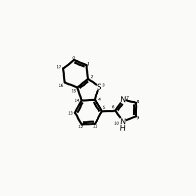 C1=Cc2sc3c(-c4ncc[nH]4)cccc3c2CC1